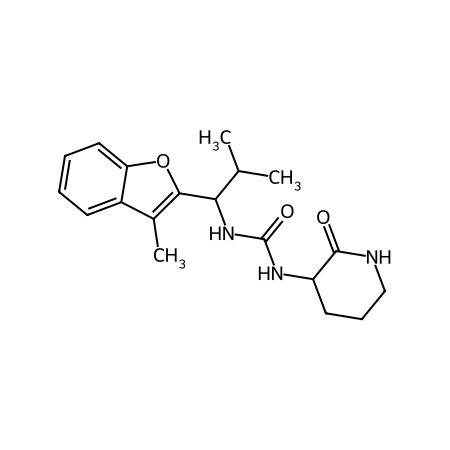 Cc1c(C(NC(=O)NC2CCCNC2=O)C(C)C)oc2ccccc12